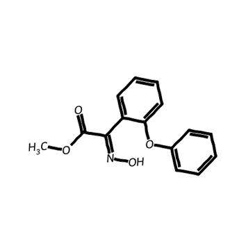 COC(=O)/C(=N/O)c1ccccc1Oc1ccccc1